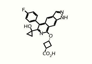 O=C(O)[C@H]1C[C@H](Oc2nc(C3(O)CC3)c(-c3ccc(F)cc3)c3cc4cn[nH]c4cc23)C1